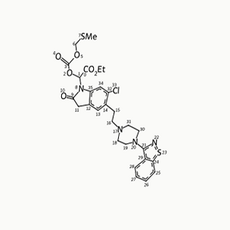 CCOC(=O)C(OC(=O)OCSC)N1C(=O)Cc2cc(CCN3CCN(c4nsc5ccccc45)CC3)c(Cl)cc21